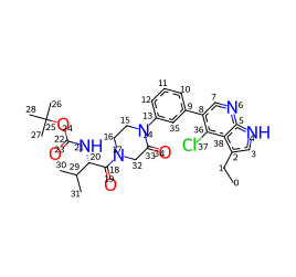 CCc1c[nH]c2ncc(-c3cccc(N4CCN(C(=O)[C@@H](NC(=O)OC(C)(C)C)C(C)C)CC4=O)c3)c(Cl)c12